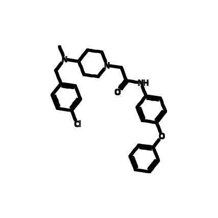 CN(Cc1ccc(Cl)cc1)C1CCN(CC(=O)Nc2ccc(Oc3ccccc3)cc2)CC1